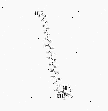 CCCCCCCCCCCCCCCCCCCCCCCCCC(C)=C(N)N